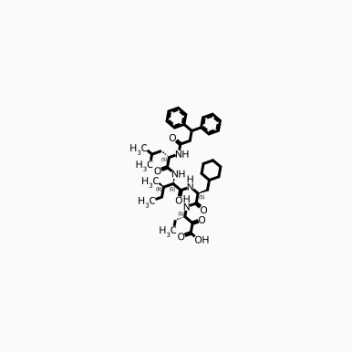 CC[C@H](NC(=O)[C@H](CC1CCCCC1)NC(=O)[C@@H](NC(=O)[C@H](CC(C)C)NC(=O)CC(c1ccccc1)c1ccccc1)[C@H](C)CC)C(=O)C(=O)O